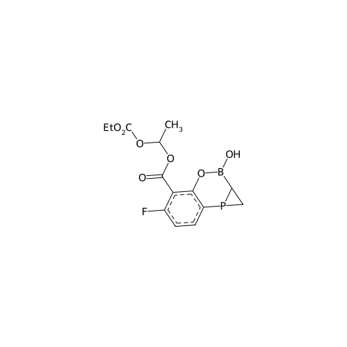 CCOC(=O)OC(C)OC(=O)c1c(F)ccc2c1OB(O)C1CP21